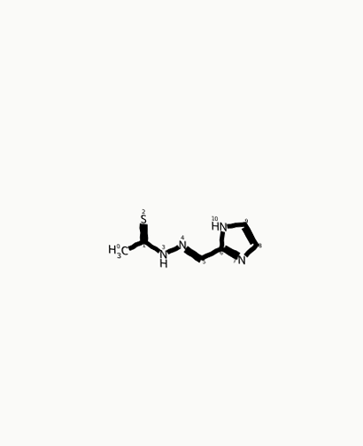 CC(=S)N/N=C/c1ncc[nH]1